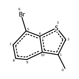 Cc1[c]sc2c(Br)cccc12